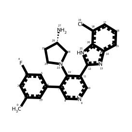 Cc1cc(F)cc(-c2cncc(-c3nc4cccc(Cl)c4[nH]3)c2N2CC[C@H](N)C2)c1